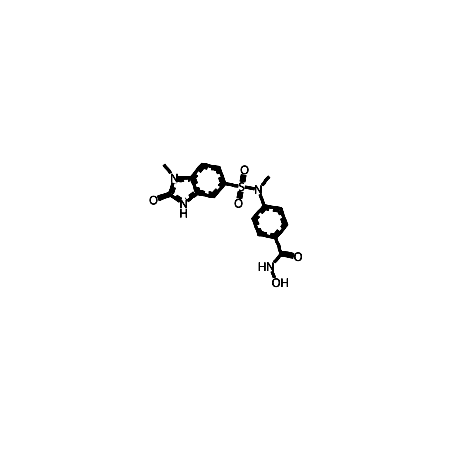 CN(c1ccc(C(=O)NO)cc1)S(=O)(=O)c1ccc2c(c1)[nH]c(=O)n2C